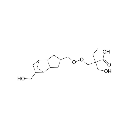 CCC(CO)(COOCC1CC2C3CC(CO)C(C3)C2C1)C(=O)O